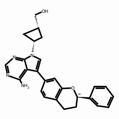 Nc1ncnc2c1c(-c1ccc3c(c1)O[C@@H](c1ccccc1)CC3)cn2[C@H]1C[C@@H](CO)C1